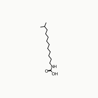 CC(C)CCCCCCCCCCNC(=O)O